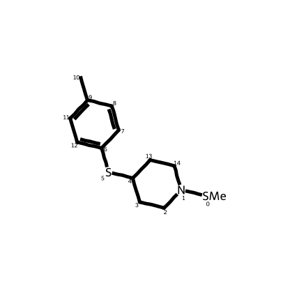 CSN1CCC(Sc2ccc(C)cc2)CC1